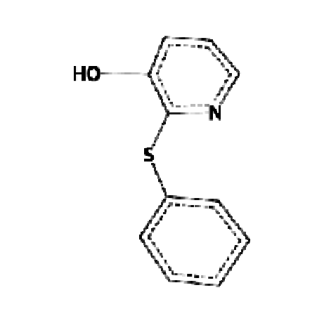 Oc1cccnc1Sc1ccccc1